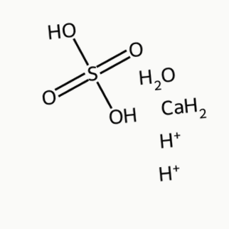 O.O=S(=O)(O)O.[CaH2].[H+].[H+]